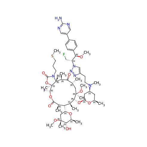 CO[C@H](c1ccc(-c2cnc(N)nc2)cc1)[C@@H](CF)n1cc(CCN(C)[C@@H]2C[C@H](O[C@@H]3[C@@H](C)C([C@H]4C[C@@](C)(OC)[C@@H](O)[C@H](C)O4)[C@@H](C)C(=O)O[C@H](I)[C@@]4(C)OC(=O)N(CCCSC)[C@@H]4[C@@H](C)C(=O)[C@H](C)C[C@@]3(C)OC)O[C@H](C)C2)nn1